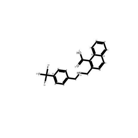 O=C(O)c1c(CNCc2ccc(C(F)(F)F)cc2)ccc2ccccc12